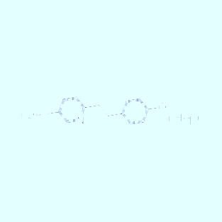 CCCCCCCCCCc1ccc(CCc2ccc(OCCCCCCC)cc2)nc1